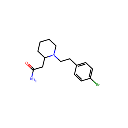 NC(=O)CC1CCCCN1CCc1ccc(Br)cc1